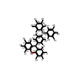 Cc1c(C)c(C)c(C(c2c(C)c(C)c(C)c(C)c2C)c2c(C)c(C)c(N(c3c(C)c(C)c(C)c(C)c3C)c3c(C)c(C)c(C)c(C)c3C)c(C)c2C)c(C)c1C